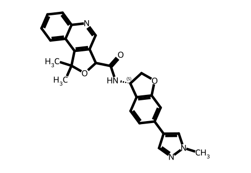 Cn1cc(-c2ccc3c(c2)OC[C@H]3NC(=O)C2OC(C)(C)c3c2cnc2ccccc32)cn1